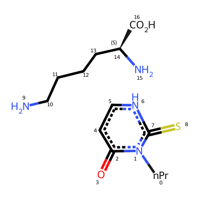 CCCn1c(=O)cc[nH]c1=S.NCCCC[C@H](N)C(=O)O